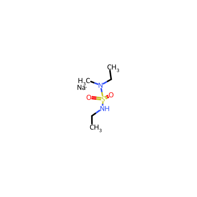 CCNS(=O)(=O)N(C)CC.[Na]